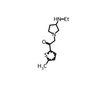 CCNC1CCN(CC(=O)c2ccc(C)s2)C1